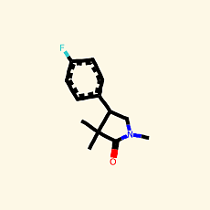 CN1CC(c2ccc(F)cc2)C(C)(C)C1=O